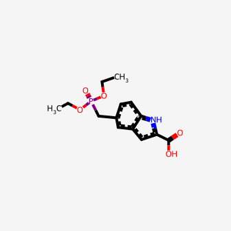 CCOP(=O)(Cc1ccc2[nH]c(C(=O)O)cc2c1)OCC